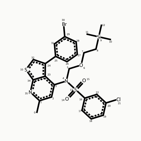 Cc1cc(N(COCC[Si](C)(C)C)S(=O)(=O)c2cccc(Cl)c2)c2c(-c3cccc(Br)c3)csc2n1